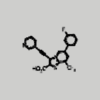 O=C(O)c1nc2c(C(F)(F)F)cc(-c3cccc(F)c3)cn2c1C#Cc1cccnc1